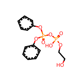 O=P(O)(OCCO)OP(=O)(Oc1ccccc1)Oc1ccccc1